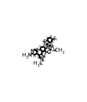 CCOC(=O)N(c1ccc(F)c(-c2nn(CC)cc2-c2ccnc(N)c2)c1F)S(=O)(=O)c1cc(F)ccc1F